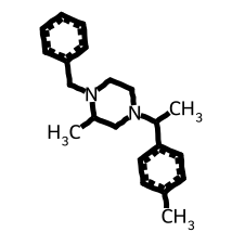 Cc1ccc(C(C)N2CCN(Cc3ccccc3)C(C)C2)cc1